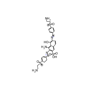 NCCS(=O)(=O)C1=CC=C(/N=N/c2c(S(=O)(=O)O)cc3ccc(/N=N/c4ccc(S(=O)(=O)CCN)cc4)c(O)c3c2N)CC1